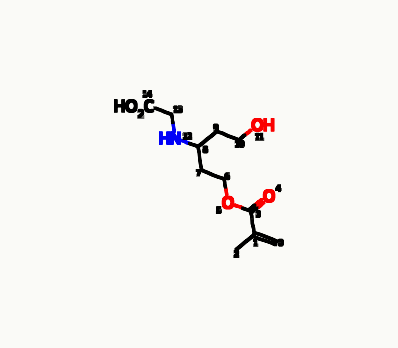 C=C(C)C(=O)OCCC(CCO)NCC(=O)O